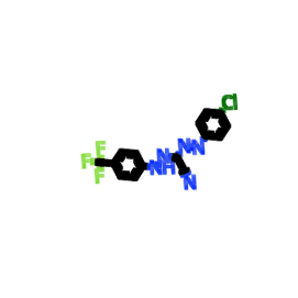 N#CC(/N=N/c1ccc(Cl)cc1)=N\Nc1ccc(C(F)(F)F)cc1